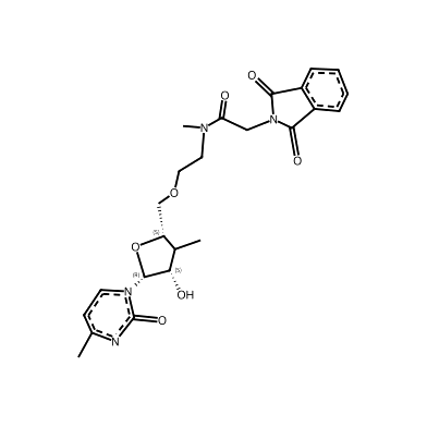 Cc1ccn([C@@H]2O[C@H](COCCN(C)C(=O)CN3C(=O)c4ccccc4C3=O)C(C)[C@@H]2O)c(=O)n1